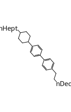 CCCCCCCCCCCCc1ccc(-c2ccc(C3CCC(CCCCCCC)CC3)cc2)cc1